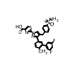 Cc1ccc(-c2nn(-c3nc(C(=O)O)cs3)cc2Cc2ccc(S(N)(=O)=O)cc2)cc1-c1cc(F)cc(F)c1